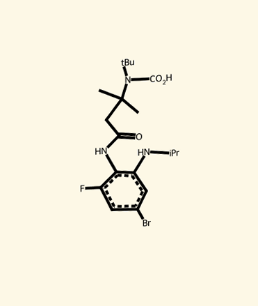 CC(C)Nc1cc(Br)cc(F)c1NC(=O)CC(C)(C)N(C(=O)O)C(C)(C)C